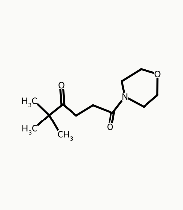 CC(C)(C)C(=O)CCC(=O)N1CCOCC1